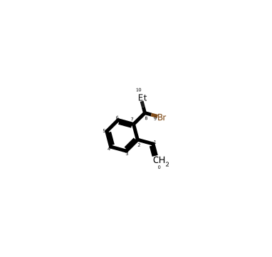 C=Cc1ccccc1C(Br)CC